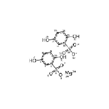 O=S(=O)([O-])c1cc(O)ccc1O.O=S(=O)([O-])c1cc(O)ccc1O.[Mg+2]